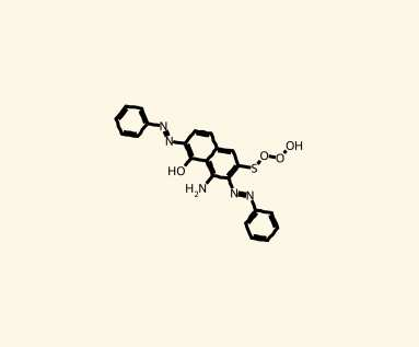 Nc1c(N=Nc2ccccc2)c(SOOO)cc2ccc(N=Nc3ccccc3)c(O)c12